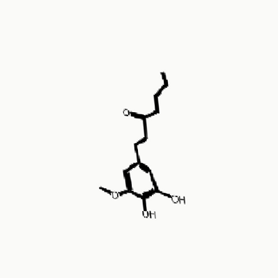 CCCCC(=O)CCc1cc(O)c(O)c(OC)c1